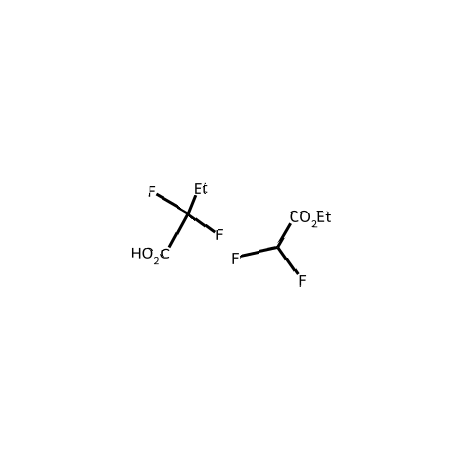 CCC(F)(F)C(=O)O.CCOC(=O)C(F)F